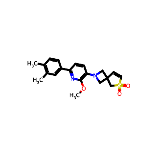 COc1nc(-c2ccc(C)c(C)c2)ccc1N1CC2(C=CS(=O)(=O)C2)C1